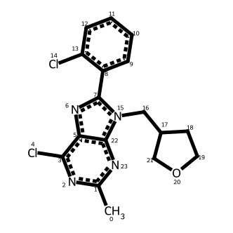 Cc1nc(Cl)c2nc(-c3ccccc3Cl)n(CC3CCOC3)c2n1